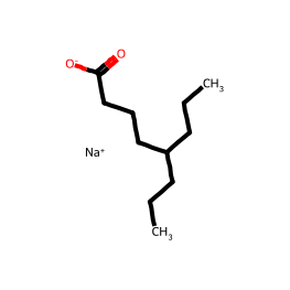 CCCC(CCC)CCCC(=O)[O-].[Na+]